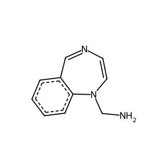 NCN1C=CN=Cc2ccccc21